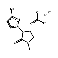 CN1CCC(n2ccc(N)n2)C1=O.O=C([O-])[O-].[K+].[K+]